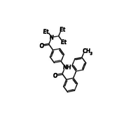 CCC(CC)N(CC)C(=O)c1ccc(NC(=O)c2ccccc2-c2ccc(C)cc2)cc1